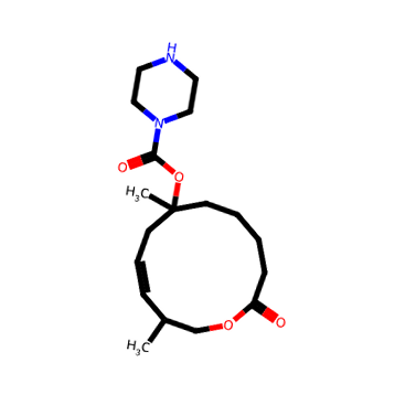 CC1C=CCC(C)(OC(=O)N2CCNCC2)CCCCC(=O)OC1